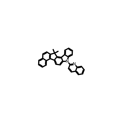 CC1(C)c2ccc3ccccc3c2-c2ccc3c(c21)c1ccccc1n3-c1ccc2ccccc2n1